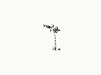 O=[C]c1ccc(CNC(=O)CC[C@H](NC(=O)CCCCCCCCCCCCCCC(=O)O)C(=O)O)cc1